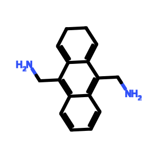 NCc1c2c(c(CN)c3ccccc13)=CCCC=2